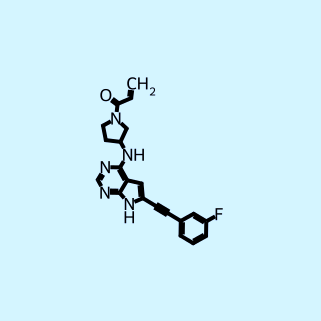 C=CC(=O)N1CCC(Nc2ncnc3[nH]c(C#Cc4cccc(F)c4)cc23)C1